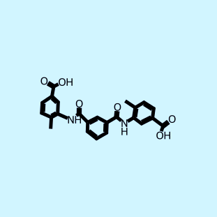 Cc1ccc(C(=O)O)cc1NC(=O)c1cccc(C(=O)Nc2cc(C(=O)O)ccc2C)c1